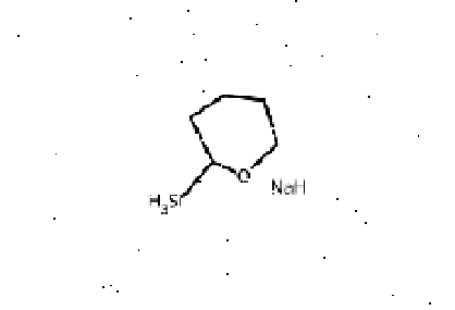 [NaH].[SiH3]C1CCCCO1